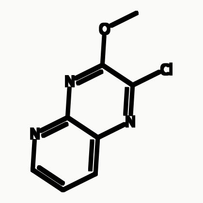 COc1nc2ncccc2nc1Cl